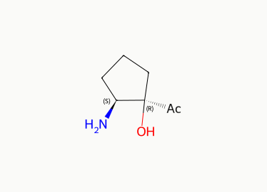 CC(=O)[C@@]1(O)CCC[C@@H]1N